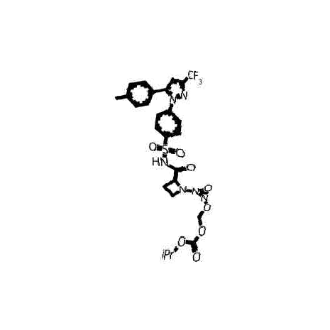 Cc1ccc(-c2cc(C(F)(F)F)nn2-c2ccc(S(=O)(=O)NC(=O)C3CCN3n3on3OCOC(=O)OC(C)C)cc2)cc1